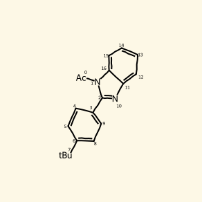 CC(=O)n1c(-c2ccc(C(C)(C)C)cc2)nc2ccccc21